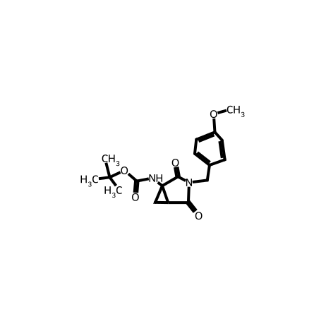 COc1ccc(CN2C(=O)C3CC3(NC(=O)OC(C)(C)C)C2=O)cc1